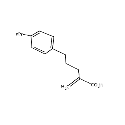 C=C(CCCc1ccc(CCC)cc1)C(=O)O